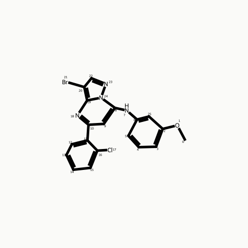 COc1cccc(Nc2cc(-c3ccccc3Cl)nc3c(Br)cnn23)c1